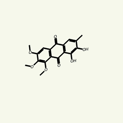 COc1cc2c(c(OC)c1OC)C(=O)c1c(cc(C)c(O)c1O)C2=O